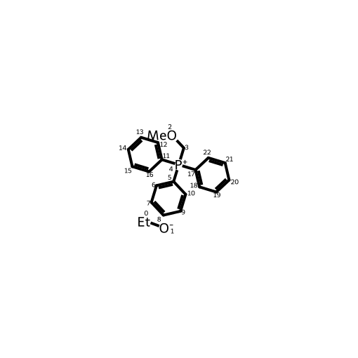 CC[O-].COC[P+](c1ccccc1)(c1ccccc1)c1ccccc1